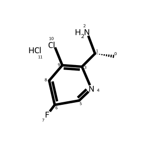 C[C@@H](N)c1ncc(F)cc1Cl.Cl